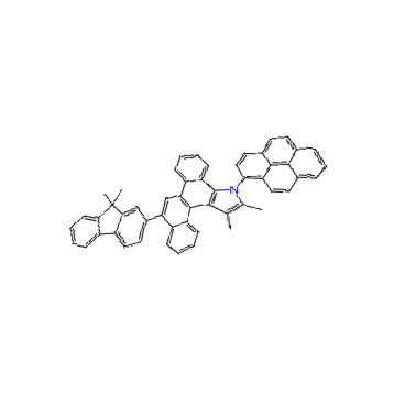 Cc1c(C)n(-c2ccc3ccc4cccc5ccc2c3c45)c2c3ccccc3c3cc(-c4ccc5c(c4)C(C)(C)c4ccccc4-5)c4ccccc4c3c12